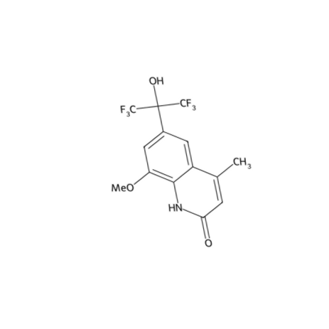 COc1cc(C(O)(C(F)(F)F)C(F)(F)F)cc2c(C)cc(=O)[nH]c12